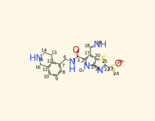 Cn1c(C(=O)NCc2cccc3c2CCNC3)c(C=N)c2sc([S+](C)[O-])nc21